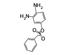 Nc1ccc(OS(=O)(=O)c2ccccc2)cc1N